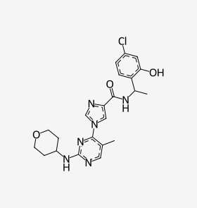 Cc1cnc(NC2CCOCC2)nc1-n1cnc(C(=O)NC(C)c2ccc(Cl)cc2O)c1